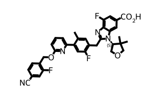 Cc1cc(Cc2nc3c(F)cc(C(=O)O)cc3n2[C@@H]2COCC2(C)C)c(F)cc1-c1cccc(OCc2ccc(C#N)cc2F)n1